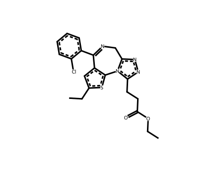 CCOC(=O)CCc1nnc2n1-c1sc(CC)cc1C(c1ccccc1Cl)=NC2